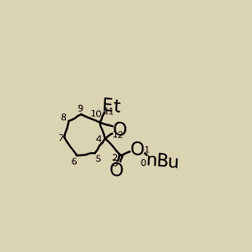 CCCCOC(=O)C12CCCCCC1(CC)O2